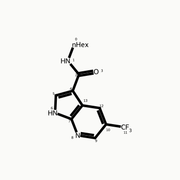 CCCCCCNC(=O)c1c[nH]c2ncc(C(F)(F)F)cc12